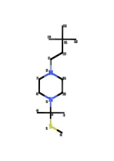 CSC(C)(C)N1CCN(CCC(C)(C)C)CC1